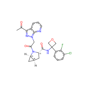 CC(=O)c1nn(CC(=O)N2[C@@H]3C[C@@H]3C[C@H]2C(=O)NC2(c3cccc(Cl)c3F)COC2)c2ncccc12